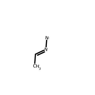 C/C=N/[N]